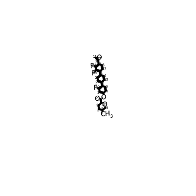 CC1CCC(C(=O)Oc2ccc(-c3ccc(-c4ccc(C5CO5)c(F)c4F)cc3)c(F)c2)OC1